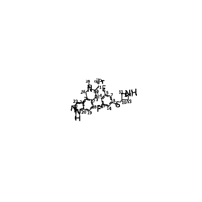 CC(C)C[C@H]1[C@H](c2c(F)cc(SC3CNC3)cc2F)c2ccc3[nH]ncc3c2CN1C